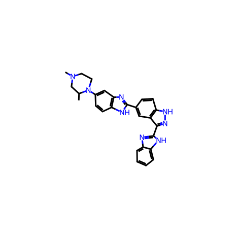 CC1CN(C)CCN1c1ccc2[nH]c(-c3ccc4[nH]nc(-c5nc6ccccc6[nH]5)c4c3)nc2c1